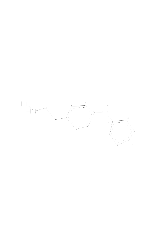 CCNCCc1ccc(Oc2ccccc2)cc1